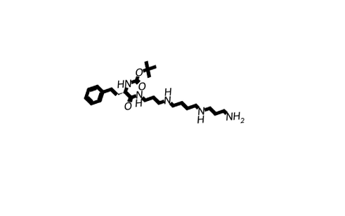 CC(C)(C)OC(=O)N[C@@H](CCc1ccccc1)C(=O)NCCCNCCCCNCCCN